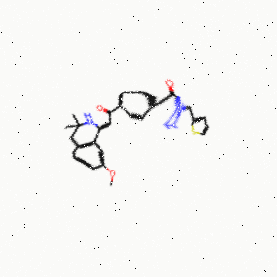 COc1ccc2c(c1)C(=CC(=O)c1ccc(C(=O)NCc3cccs3)cc1)NC(C)(C)C2